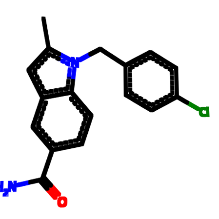 Cc1cc2cc(C(N)=O)ccc2n1Cc1ccc(Cl)cc1